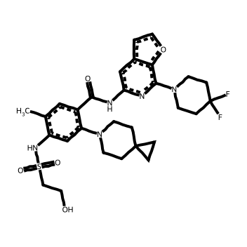 Cc1cc(C(=O)Nc2cc3ccoc3c(N3CCC(F)(F)CC3)n2)c(N2CCC3(CC2)CC3)cc1NS(=O)(=O)CCO